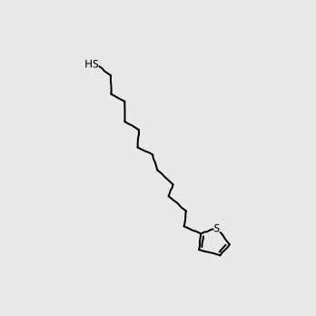 SCCCCCCCCCCCCc1cccs1